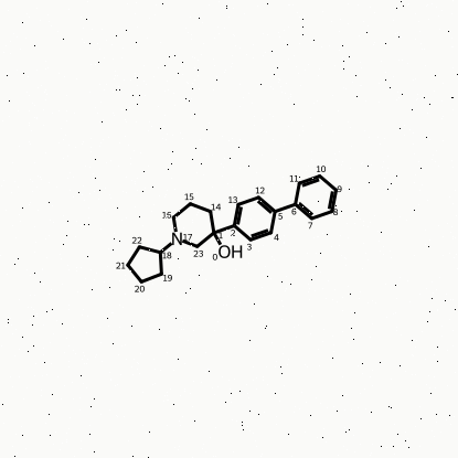 OC1(c2ccc(-c3ccccc3)cc2)CCCN(C2CCCC2)C1